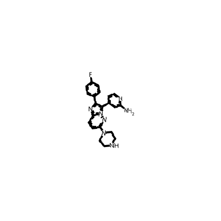 Nc1cc(-c2c(-c3ccc(F)cc3)nc3ccc(N4CCNCC4)nn23)ccn1